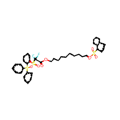 O=C(OCCCCCCCCCCOS(=O)(=O)c1cccc2ccccc12)C(F)(F)S(=O)(=O)OS(c1ccccc1)(c1ccccc1)c1ccccc1